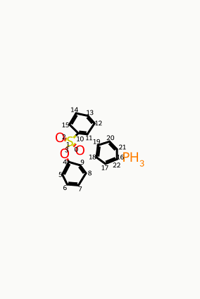 O=S(=O)(Oc1ccccc1)c1ccccc1.P.c1ccccc1